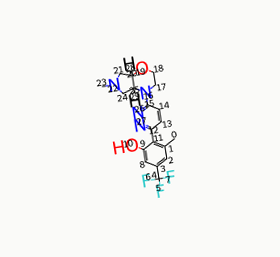 Cc1cc(C(F)(F)F)cc(O)c1-c1ccc(N2CCO[C@H]3CN(C)C[C@H]32)nn1